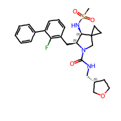 CS(=O)(=O)N[C@@H]1[C@H](Cc2cccc(-c3ccccc3)c2F)N(C(=O)NC[C@@H]2CCOC2)CC12CC2